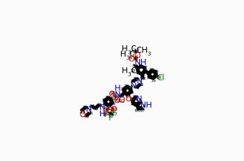 CC(C)(C)OC(=O)NC[C@]1(C)CCC(c2ccc(Cl)cc2)=C(CN2CCN(c3ccc(C(=O)NS(=O)(=O)c4ccc(NCCCN5CCOCC5)c(S(=O)(=O)C(F)(F)F)c4)c(Oc4cnc5[nH]ccc5c4)c3)CC2)C1